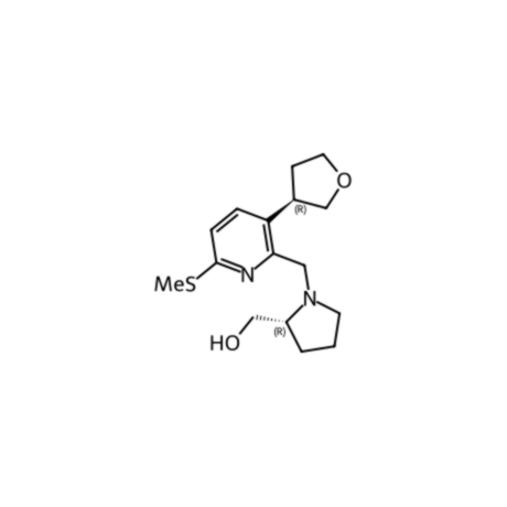 CSc1ccc([C@H]2CCOC2)c(CN2CCC[C@@H]2CO)n1